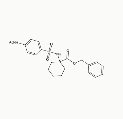 CC(=O)Nc1ccc(S(=O)(=O)NC2(C(=O)OCc3ccccc3)CCCCC2)cc1